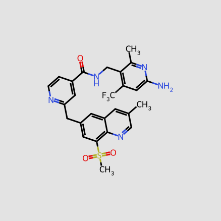 Cc1cnc2c(S(C)(=O)=O)cc(Cc3cc(C(=O)NCc4c(C(F)(F)F)cc(N)nc4C)ccn3)cc2c1